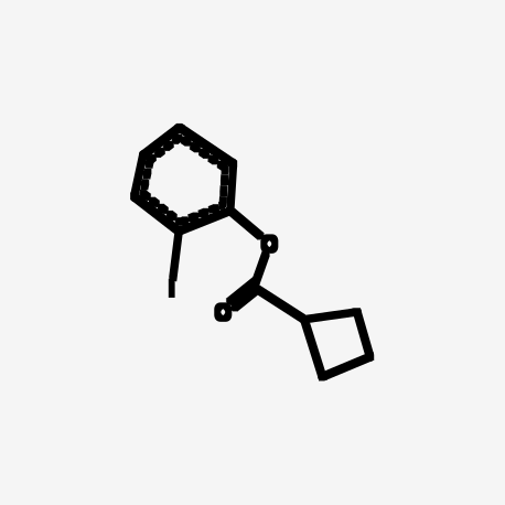 O=C(Oc1ccccc1I)C1CCC1